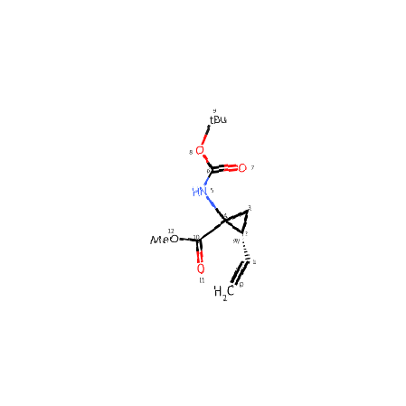 C=C[C@H]1CC1(NC(=O)OC(C)(C)C)C(=O)OC